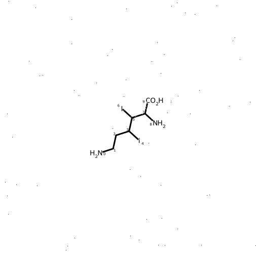 NCCC(I)C(I)C(N)C(=O)O